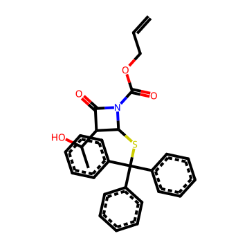 C=CCOC(=O)N1C(=O)C(C(C)O)C1SC(c1ccccc1)(c1ccccc1)c1ccccc1